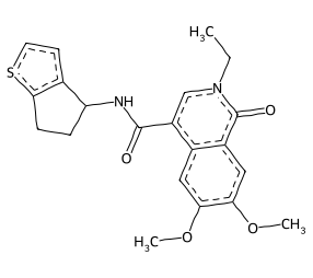 CCn1cc(C(=O)NC2CCc3sccc32)c2cc(OC)c(OC)cc2c1=O